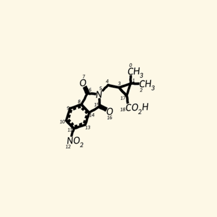 CC1(C)C(CN2C(=O)c3ccc([N+](=O)[O-])cc3C2=O)C1C(=O)O